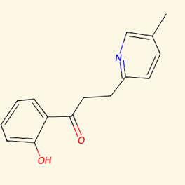 Cc1ccc(CCC(=O)c2ccccc2O)nc1